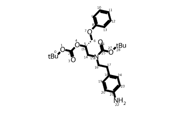 CC(C)(C)OC(=O)O[C@H](COc1ccccc1)CN(CCc1ccc(N)cc1)C(=O)OC(C)(C)C